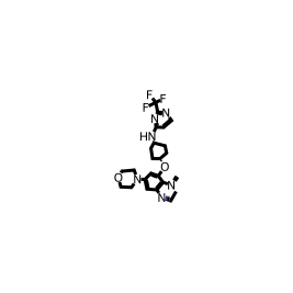 C=Nc1c(/N=C\C)cc(N2CCOCC2)cc1O[C@H]1CC[C@@H](Nc2ccnc(C(F)(F)F)n2)CC1